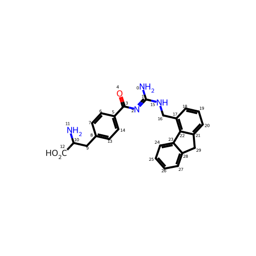 NC(=NC(=O)c1ccc(CC(N)C(=O)O)cc1)NCc1cccc2c1-c1ccccc1C2